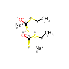 CCSC([O-])=S.CCSC([O-])=S.[Na+].[Na+]